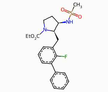 CCOC(=O)N1CC[C@@H](NS(C)(=O)=O)[C@H]1Cc1cccc(-c2ccccc2)c1F